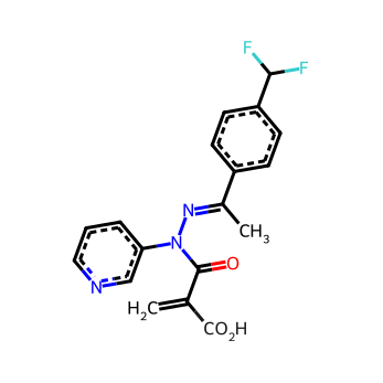 C=C(C(=O)O)C(=O)N(/N=C(\C)c1ccc(C(F)F)cc1)c1cccnc1